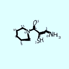 N/C=C(\S)C(=O)N1CCCCC1